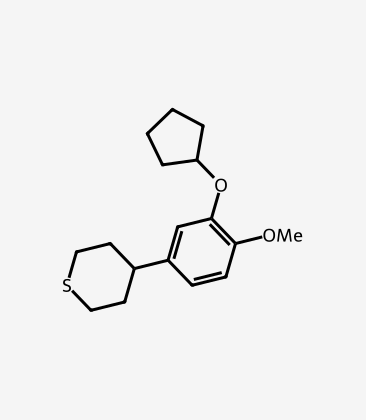 COc1ccc(C2CCSCC2)cc1OC1CCCC1